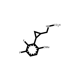 COc1ccc(F)c(F)c1C1CC1CNC(=O)O